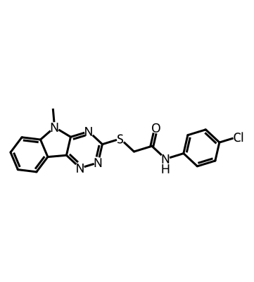 Cn1c2ccccc2c2nnc(SCC(=O)Nc3ccc(Cl)cc3)nc21